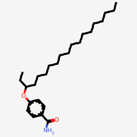 CCCCCCCCCCCCCCCCC(CC)Oc1ccc(C(N)=O)cc1